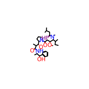 CCC(C)C(C(CC(=O)N1CCCC1C(OC)C(C)C(=O)NC(C)C(O)c1ccccc1)OC)N(C)C(=P)CC(C)C